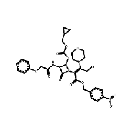 O=C(COc1ccccc1)NC1C(=O)N(/C(C(=O)OCc2ccc([N+](=O)[O-])cc2)=C(/CBr)N2CCOCC2)C1SC(=O)OCC1CC1